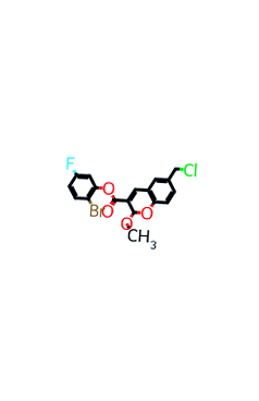 COC1Oc2ccc(CCl)cc2C=C1C(=O)Oc1cc(F)ccc1Br